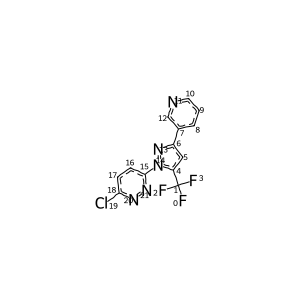 FC(F)(F)c1cc(-c2cccnc2)nn1-c1ccc(Cl)nn1